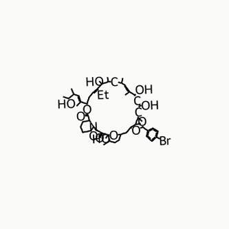 CC/C1=C\CC(/C(C)=C/C(C)C(C)O)OC(=O)C2CCCCN2C(=O)C(=O)C2(O)OC(CCC2C)CC2OC(c3ccc(Br)cc3)OC(CC(O)CC(O)/C(C)=C/C(C)CC(C)C1O)C2C